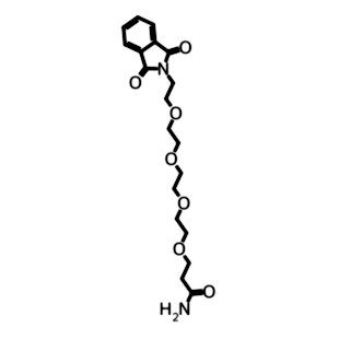 NC(=O)CCOCCOCCOCCOCCN1C(=O)c2ccccc2C1=O